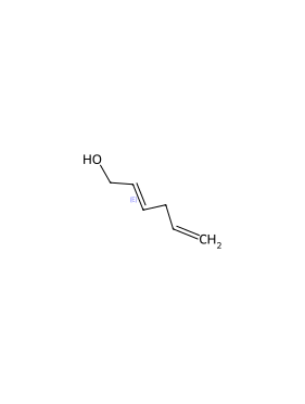 C=CC/C=C/CO